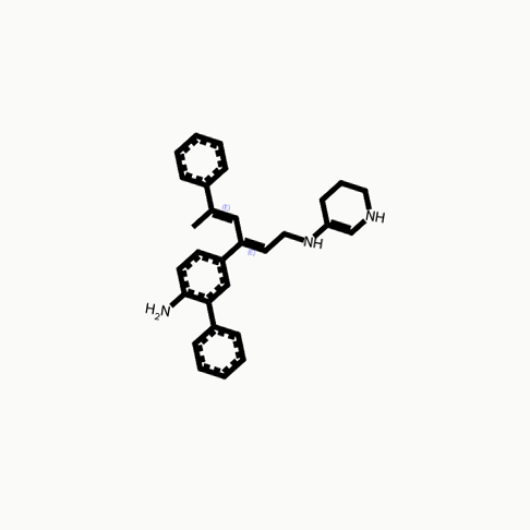 C/C(=C\C(=C/CNC1=CNCCC1)c1ccc(N)c(-c2ccccc2)c1)c1ccccc1